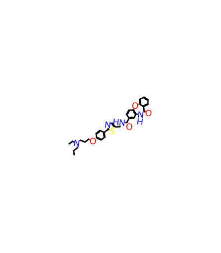 CCCN(CC)CCCOc1ccc(-c2ncc(CNC(=O)c3ccc4c(c3)NC(=O)c3ccccc3O4)s2)cc1